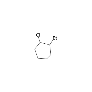 CCC1CCCCC1Cl